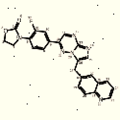 O=C1OCCN1c1ccc(-c2cnc3ncc(Cc4ccc5ncccc5c4)n3n2)cc1F